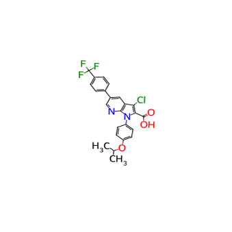 CC(C)Oc1ccc(-n2c(C(=O)O)c(Cl)c3cc(-c4ccc(C(F)(F)F)cc4)cnc32)cc1